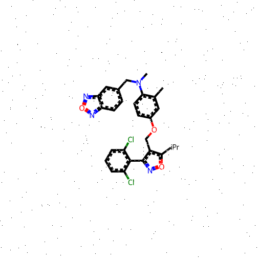 Cc1cc(OCc2c(-c3c(Cl)cccc3Cl)noc2C(C)C)ccc1N(C)Cc1ccc2nonc2c1